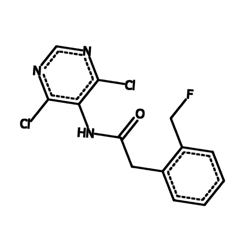 O=C(Cc1ccccc1CF)Nc1c(Cl)ncnc1Cl